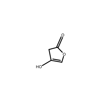 O=C1CC(O)=CO1